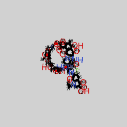 COc1c(N2CC(NC3CCN(C4=C5NC(=O)/C(C)=C\C=C\[C@H](C)[C@H](O)C[C@@H](O)C[C@H](OC(C)=O)[C@H](C)[C@@H](OC)/C=C/O[C@@]6(C)Oc7c(C)c(O)c(c(c7C6=O)C4=O)C5=O)CC3)C2)c(F)cc2c(=O)c(C(=O)O)cn(C3CC3)c12